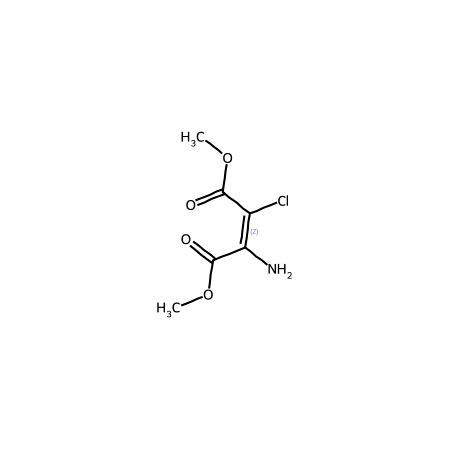 COC(=O)/C(N)=C(/Cl)C(=O)OC